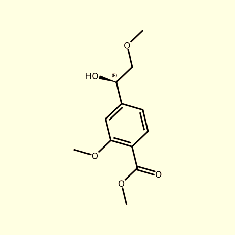 COC[C@H](O)c1ccc(C(=O)OC)c(OC)c1